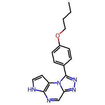 CCCCOc1ccc(-c2nnc3cnc4[nH]ccc4n23)cc1